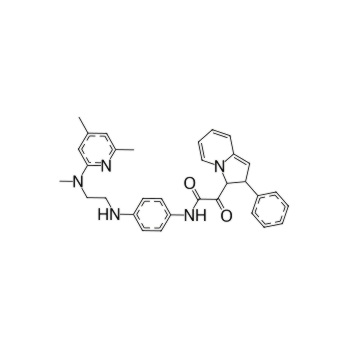 Cc1cc(C)nc(N(C)CCNc2ccc(NC(=O)C(=O)C3C(c4ccccc4)C=C4C=CC=CN43)cc2)c1